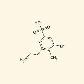 C=CCc1cc(S(=O)(=O)O)cc(Br)c1C